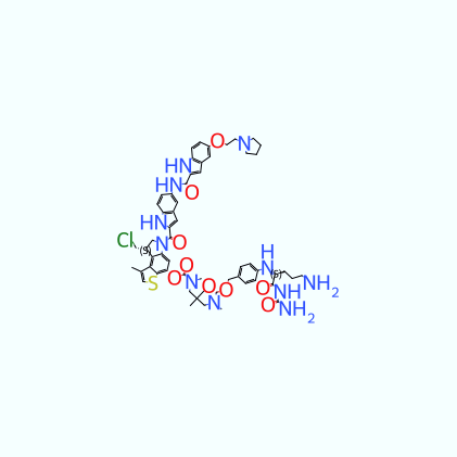 Cc1csc2c(OC(=O)N(C)CC(C)(C)CN(C)C(=O)OCc3ccc(N[C@@H](CCCN)C(=O)NC(N)=O)cc3)cc3c(c12)[C@H](CCl)CN3C(=O)c1cc2cc(NC(=O)c3cc4cc(OCCN5CCCC5)ccc4[nH]3)ccc2[nH]1